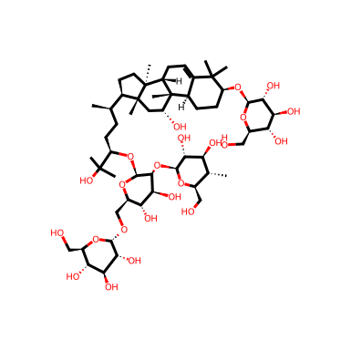 C[C@H]1[C@H](O)[C@@H](O)[C@H](O[C@H]2[C@H](O[C@H](CC[C@@H](C)[C@H]3CC[C@@]4(C)[C@@H]5CC=C6[C@@H](CC[C@H](O[C@@H]7O[C@H](CO)[C@@H](O)[C@H](O)[C@H]7O)C6(C)C)[C@]5(C)[C@H](O)C[C@]34C)C(C)(C)O)O[C@H](CO[C@H]3O[C@H](CO)[C@@H](O)[C@H](O)[C@H]3O)[C@@H](O)[C@@H]2O)O[C@@H]1CO